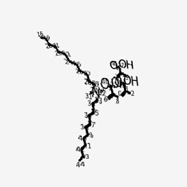 C=C(C)C(=O)O.C=C(C)C(=O)O.C=C(C)C(=O)O.CCCCCCCCCCCC[N+](C)(C)CCCCCCCCCCCC